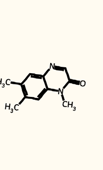 Cc1cc2ncc(=O)n(C)c2cc1C